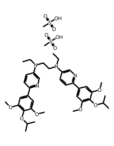 CCN(CCN(CC)c1ccc(-c2cc(OC)c(OC(C)C)c(OC)c2)nc1)c1ccc(-c2cc(OC)c(OC(C)C)c(OC)c2)nc1.CS(=O)(=O)O.CS(=O)(=O)O